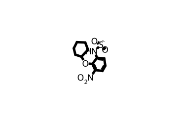 CS(=O)(=O)Nc1cccc([N+](=O)[O-])c1OC1CCCCC1